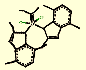 CC1=Cc2c(C)ccc(C)c2[CH]1[Zr]([Cl])([Cl])(=[C](C)C)[CH]1C(C)=Cc2c(C)ccc(C)c21